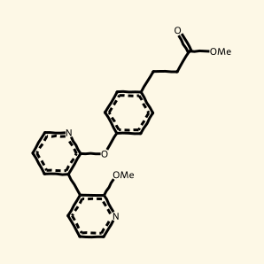 COC(=O)CCc1ccc(Oc2ncccc2-c2cccnc2OC)cc1